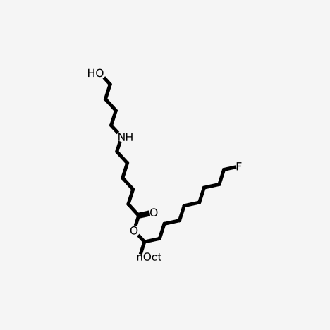 CCCCCCCCC(CCCCCCCCF)OC(=O)CCCCCNCCCCO